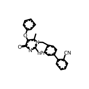 CCCc1nc(=O)c(Oc2ccccc2)c(C)n1Cc1ccc(-c2ccccc2C#N)cc1